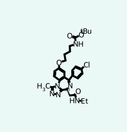 CCNC(=O)C[C@@H]1N=C(c2ccc(Cl)cc2)c2cc(OCCCCNC(=O)OC(C)(C)C)ccc2-n2c(C)nnc21